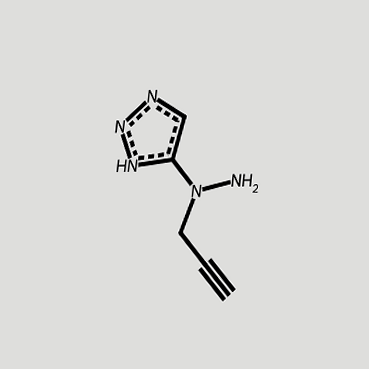 C#CCN(N)c1cnn[nH]1